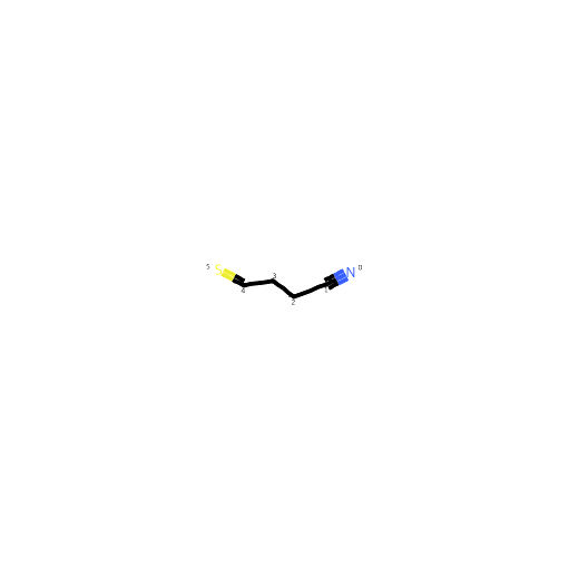 N#C[CH]CC=S